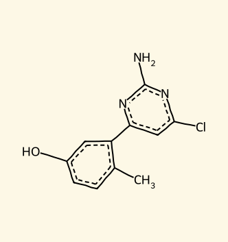 Cc1ccc(O)cc1-c1cc(Cl)nc(N)n1